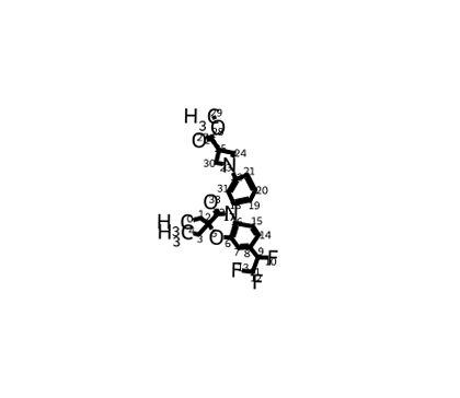 CCC1(CC)Oc2cc(C(F)C(F)F)ccc2N(c2cccc(N3CC(C(=O)OC)C3)c2)C1=O